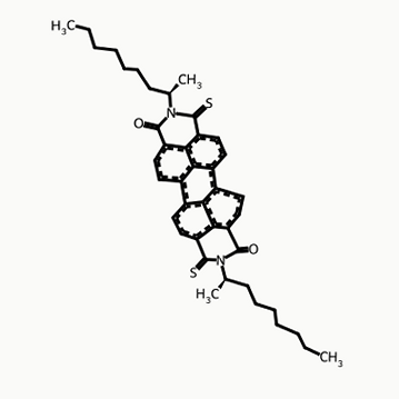 CCCCCCC[C@@H](C)N1C(=O)c2ccc3c4ccc5c6c(ccc(c7ccc(c2c37)C1=S)c64)C(=O)N([C@H](C)CCCCCCC)C5=S